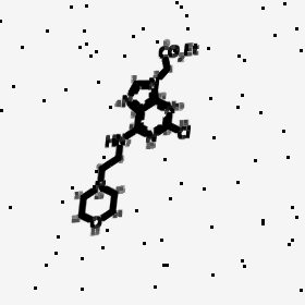 CCOC(=O)Cn1cnc2c(NCCN3CCOCC3)nc(Cl)nc21